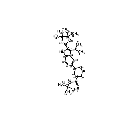 CC(C)c1c(B2OC(C)(C)C(C)(C)O2)[nH]c2ccc(C3CN(C(=O)OC(C)(C)C)CCO3)nc12